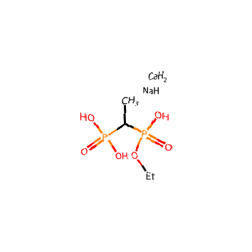 CCOP(=O)(O)C(C)P(=O)(O)O.[CaH2].[NaH]